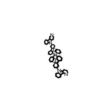 c1ccc([Si](c2ccccc2)(c2cccc3c2oc2ccc(-n4c5ccccc5c5cnccc54)cc23)c2cccc3c2oc2ccc(-n4c5ccccc5c5ncccc54)cc23)cc1